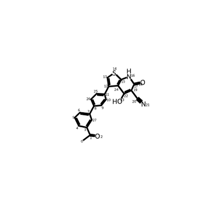 CC(=O)c1cccc(-c2ccc(-c3csc4[nH]c(=O)c(C#N)c(O)c34)cc2)c1